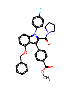 COC(=O)c1ccc(-c2c(C(=O)N3CCCC3)n(-c3ccc(F)cc3)c3cccc(OCc4ccccc4)c23)cc1